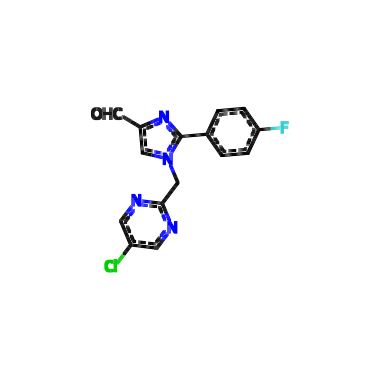 O=Cc1cn(Cc2ncc(Cl)cn2)c(-c2ccc(F)cc2)n1